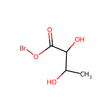 CC(O)C(O)C(=O)OBr